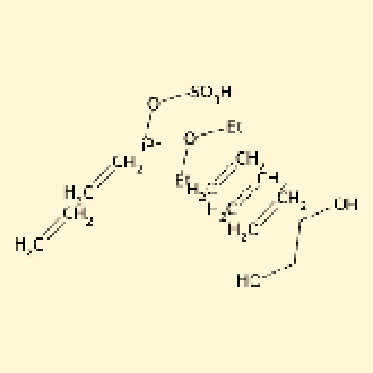 C=C.C=C.C=C.C=C.C=C.CC(C)OS(=O)(=O)O.CCOCC.OCCO